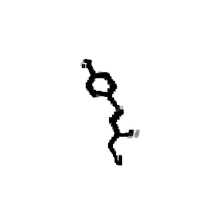 SC(CCl)CSc1ccc(Cl)cc1